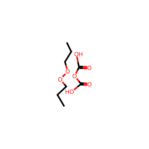 CCCOOCCC.O=C(O)OC(=O)O